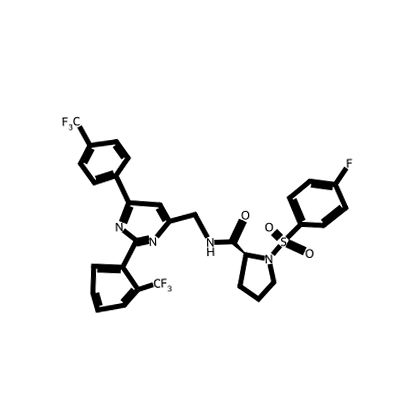 O=C(NCc1cc(-c2ccc(C(F)(F)F)cc2)nc(-c2ccccc2C(F)(F)F)n1)[C@@H]1CCCN1S(=O)(=O)c1ccc(F)cc1